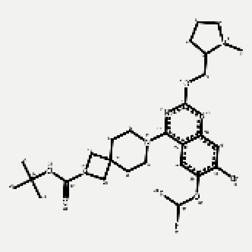 CN1CCCC1COc1nc(N2CCC3(CC2)CN(C(=O)OC(C)(C)C)C3)c2cc(OC(F)F)c(Br)cc2n1